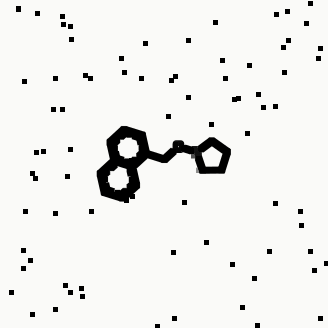 [CH]1CCCN1OCc1cccc2ccccc12